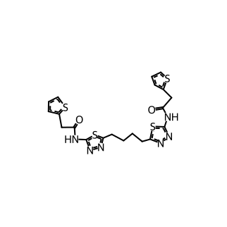 O=C(Cc1cccs1)Nc1nnc(CCCCc2nnc(NC(=O)Cc3cccs3)s2)s1